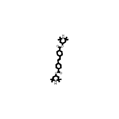 CC1(C)CC(OC(=O)C2CCC(/C=C/C3CCC(C(=O)OC4CC(C)(C)NC(C)(C)C4)CC3)CC2)CC(C)(C)N1